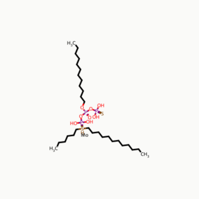 CCCCCCCCCCCCOP(=O)(OP(O)(O)=S)OP(O)(O)=[SH]([Mo])(CCCCCC)CCCCCCCCCCCC